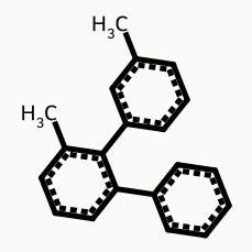 Cc1cccc(-c2c(C)cccc2-c2ccccc2)c1